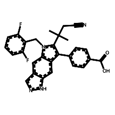 CC(C)(CC#N)c1c(-c2ccc(C(=O)O)cc2)c2cc3[nH]ncc3cc2n1Cc1c(F)cccc1F